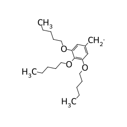 [CH2]c1cc(OCCCCC)c(OCCCCC)c(OCCCCC)c1